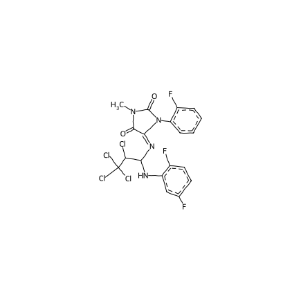 CN1C(=O)C(=NC(Nc2cc(F)ccc2F)C(Cl)C(Cl)(Cl)Cl)N(c2ccccc2F)C1=O